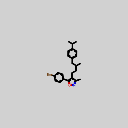 CC(=CCc1c(C)noc1-c1ccc(Br)cc1)Cc1ccc(C(C)C)cc1